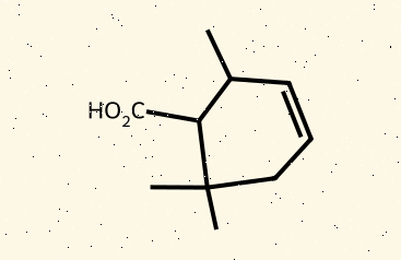 CC1C=CCC(C)(C)C1C(=O)O